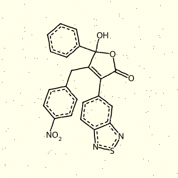 O=C1OC(O)(c2ccccc2)C(Cc2ccc([N+](=O)[O-])cc2)=C1c1ccc2nsnc2c1